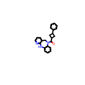 O=C(C1CC(c2ccccc2)C1)N1Cc2cccnc2Nc2ccccc21